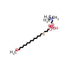 COCCCCCCCCCCCCCCSCCCOP(=O)(O)OCC[N+](C)(C)C